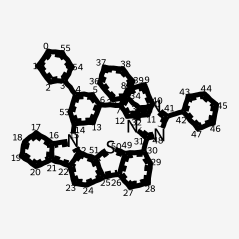 c1ccc(-c2cc(-c3ccccc3)cc(-n3c4ccccc4c4ccc5c6cccc(-c7nc(-c8ccccc8)nc(-c8ccccc8)n7)c6sc5c43)c2)cc1